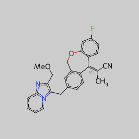 COCc1nc2ccccn2c1Cc1ccc2c(c1)COc1cc(F)ccc1/C2=C(/C)C#N